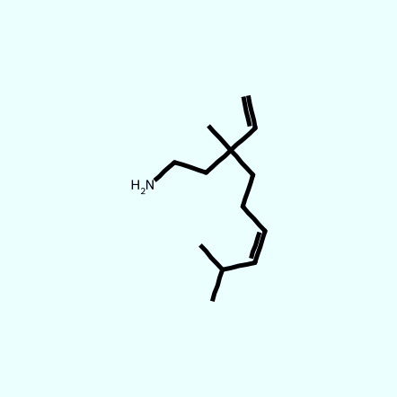 C=CC(C)(CCN)CC/C=C\C(C)C